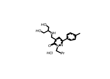 Cc1ccc(-c2cc(CNC(CO)CO)c(=O)n(CC(C)C)n2)cc1.Cl